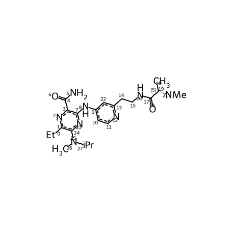 CCc1nc(C(N)=O)c(Nc2ccnc(CCNC(=O)[C@H](C)NC)c2)nc1N(C)C(C)C